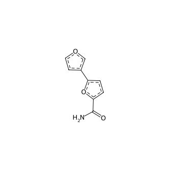 NC(=O)c1ccc(-c2ccoc2)o1